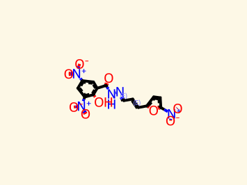 O=C(N/N=C/C=C/c1ccc([N+](=O)[O-])o1)c1cc([N+](=O)[O-])cc([N+](=O)[O-])c1O